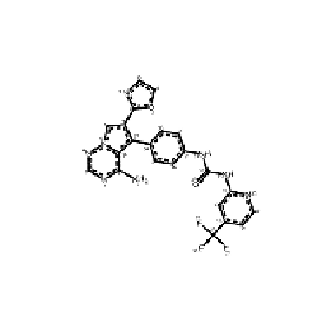 Nc1ncnn2cc(-c3ncco3)c(-c3ccc(NC(=O)Nc4cc(C(F)(F)F)ccn4)cc3)c12